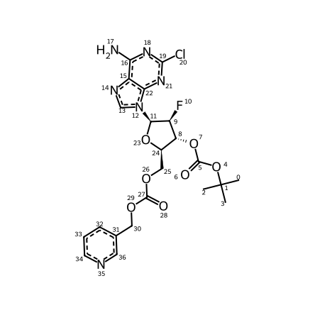 CC(C)(C)OC(=O)O[C@H]1[C@H](F)[C@H](n2cnc3c(N)nc(Cl)nc32)O[C@@H]1COC(=O)OCc1cccnc1